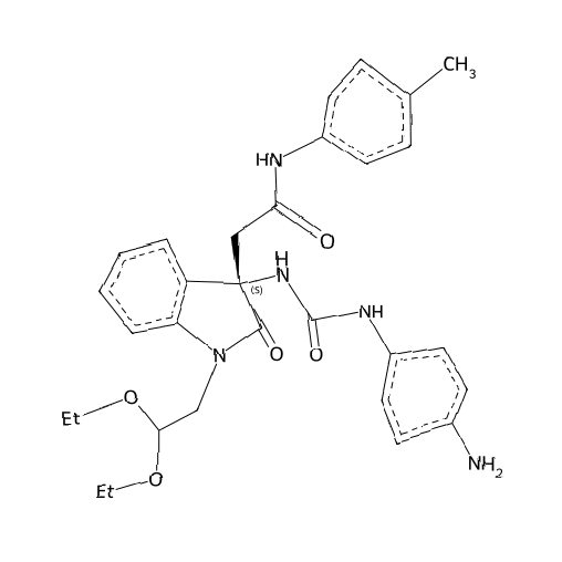 CCOC(CN1C(=O)[C@@](CC(=O)Nc2ccc(C)cc2)(NC(=O)Nc2ccc(N)cc2)c2ccccc21)OCC